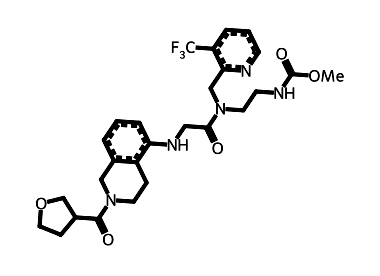 COC(=O)NCCN(Cc1ncccc1C(F)(F)F)C(=O)CNc1cccc2c1CCN(C(=O)C1CCOC1)C2